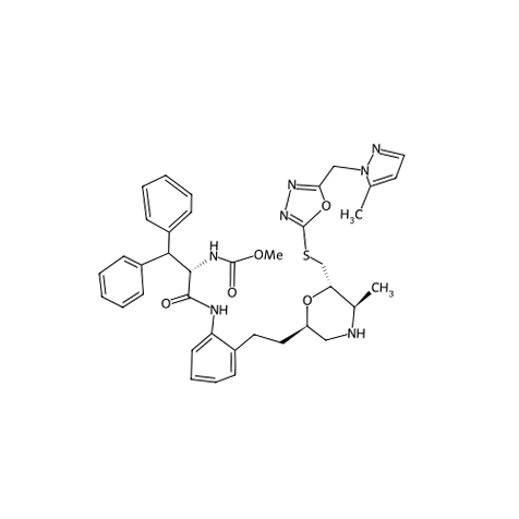 COC(=O)N[C@H](C(=O)Nc1ccccc1CC[C@@H]1CN[C@H](C)[C@@H](CSc2nnc(Cn3nccc3C)o2)O1)C(c1ccccc1)c1ccccc1